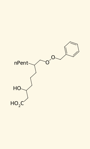 CCCCCC(CCCC(O)CC(=O)O)COOCc1ccccc1